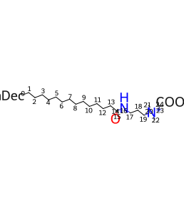 CCCCCCCCCCCCCCCCCCCCCCCC(=O)NCCC[N+](C)(C)CC(=O)[O-]